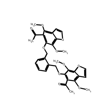 COc1c(C(C)=O)c(OCc2ccccc2COc2c(C(C)=O)c(OC)c3ccoc3c2OC)c(OC)c2occc12